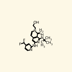 C=C1c2c(cc(Nc3cc(C(F)F)ccn3)nc2NC(C)(C)C)C=CN1CCO